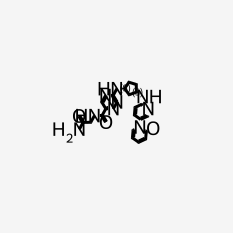 NC(=O)CNC(=O)c1cnc(N[C@H]2CC[C@H](Nc3ccc(-n4ccccc4=O)cn3)C2)nn1